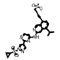 CC(C)c1ccc(C#CCS(C)(=O)=O)c2cnc(Nc3ccnc(-c4cnn(S(=O)(=O)C5CC5)c4)n3)cc12